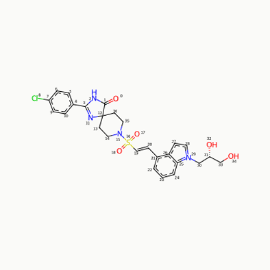 O=C1NC(c2ccc(Cl)cc2)=NC12CCN(S(=O)(=O)/C=C/c1cccc3c1ccn3C[C@H](O)CO)CC2